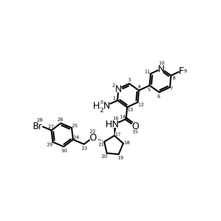 Nc1ncc(-c2ccc(F)nc2)cc1C(=O)N[C@H]1CCC[C@@H]1OCc1ccc(Br)cc1